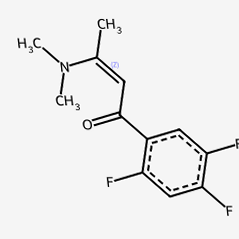 C/C(=C/C(=O)c1cc(F)c(F)cc1F)N(C)C